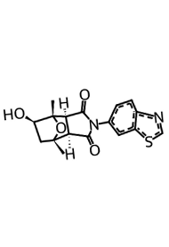 C[C@@]12O[C@@](C)(C[C@H]1O)[C@@H]1C(=O)N(c3ccc4ncsc4c3)C(=O)[C@@H]12